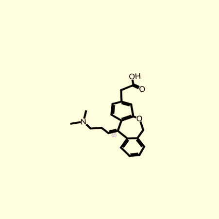 CN(C)CC/C=C1/c2ccccc2COc2cc(CC(=O)O)ccc21